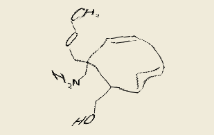 COC1(N)C=CC=CC1O